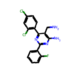 NCc1c(N)nc(-c2ccccc2F)nc1-c1ccc(Cl)cc1Cl